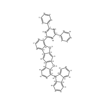 c1ccc(-c2nc(-c3ccccc3)nc(-c3cccc4c3oc3cc5oc6c(-n7c8ccccc8c8ccccc87)cccc6c5cc34)n2)cc1